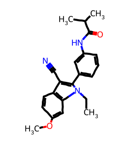 CCn1c(-c2cccc(NC(=O)C(C)C)c2)c(C#N)c2ccc(OC)cc21